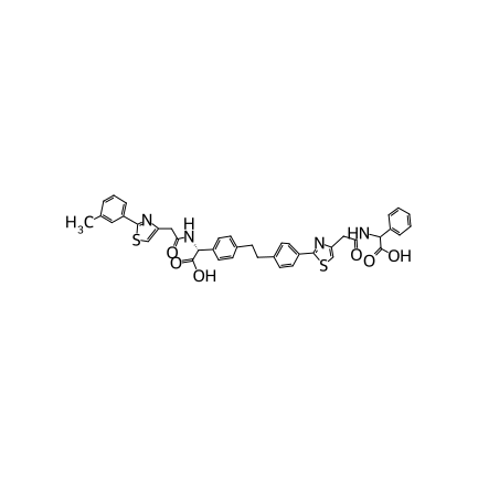 Cc1cccc(-c2nc(CC(=O)N[C@@H](C(=O)O)c3ccc(CCc4ccc(-c5nc(CC(=O)NC(C(=O)O)c6ccccc6)cs5)cc4)cc3)cs2)c1